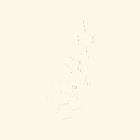 CCn1c(Oc2ccc(F)cc2)nnc1[C@@H](C)NS(=O)(=O)c1c(C)cccc1Cl